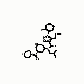 COCc1c(C(=O)N(CC(C)C)[C@@H]2CNC[C@H](C(=O)N3CCOCC3)C2)nnn1-c1ccccc1F